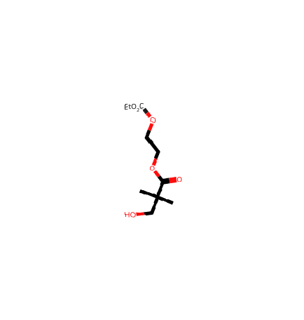 CCOC(=O)OCCOC(=O)C(C)(C)CO